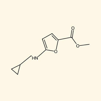 COC(=O)c1ccc(NCC2CC2)o1